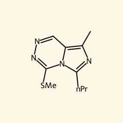 CCCc1nc(C)c2cnnc(SC)n12